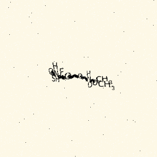 CC(C)OCC(=O)NCCCOCCCOCC(F)CNC(=O)S